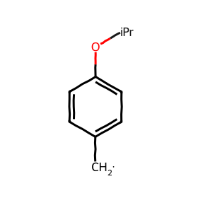 [CH2]c1ccc(OC(C)C)cc1